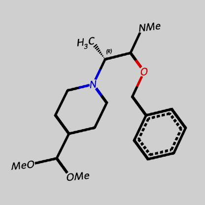 CNC(OCc1ccccc1)[C@@H](C)N1CCC(C(OC)OC)CC1